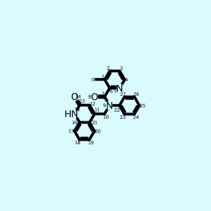 Cc1cccnc1C(=O)N(Cc1cc(=O)[nH]c2ccccc12)c1ccccc1